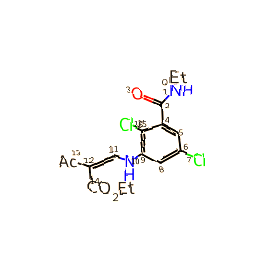 CCNC(=O)c1cc(Cl)cc(NC=C(C(C)=O)C(=O)OCC)c1Cl